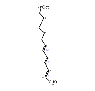 CCCCCCCCCCCCC/C=C/C=C/C=C/[C]=O